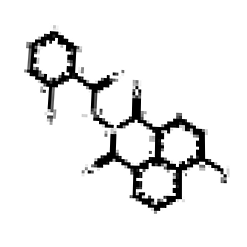 O=C(NN1C(=O)c2cccc3c(Cl)ccc(c23)C1=O)c1ccccc1Cl